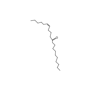 CCCCC/C=C\CCCC(=O)CCCCCCCCCC